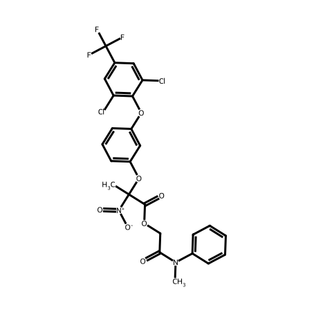 CN(C(=O)COC(=O)C(C)(Oc1cccc(Oc2c(Cl)cc(C(F)(F)F)cc2Cl)c1)[N+](=O)[O-])c1ccccc1